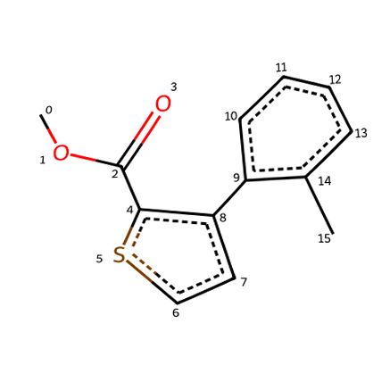 COC(=O)c1sccc1-c1ccccc1C